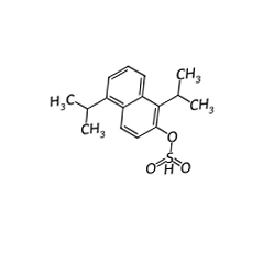 CC(C)c1cccc2c(C(C)C)c(O[SH](=O)=O)ccc12